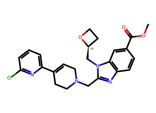 COC(=O)c1ccc2nc(CN3CC=C(c4cccc(Cl)n4)CC3)n(C[C@@H]3CCO3)c2c1